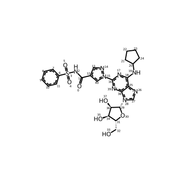 O=C(NS(=O)(=O)c1ccccc1)c1cnn(-c2nc(NC3CCCC3)c3ncn([C@@H]4O[C@H](CO)[C@@H](O)[C@H]4O)c3n2)c1